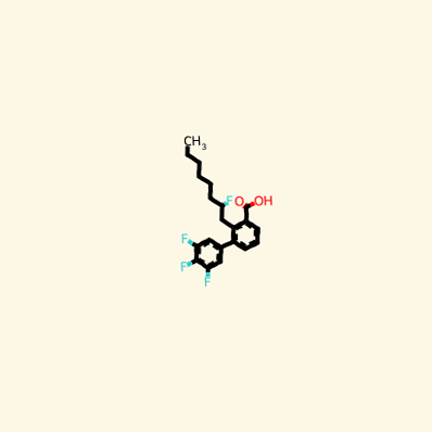 CCCCCCC(F)Cc1c(C(=O)O)cccc1-c1cc(F)c(F)c(F)c1